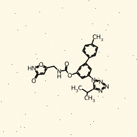 Cc1ccc(-c2cc(OC(=O)NCc3cc(=O)[nH]o3)cc(-n3nnnc3C(C)C)c2)cc1